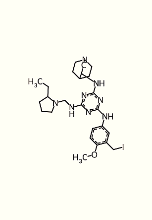 CCC1CCCN1CNc1nc(Nc2ccc(OC)c(CI)c2)nc(NC2CN3CCC2CC3)n1